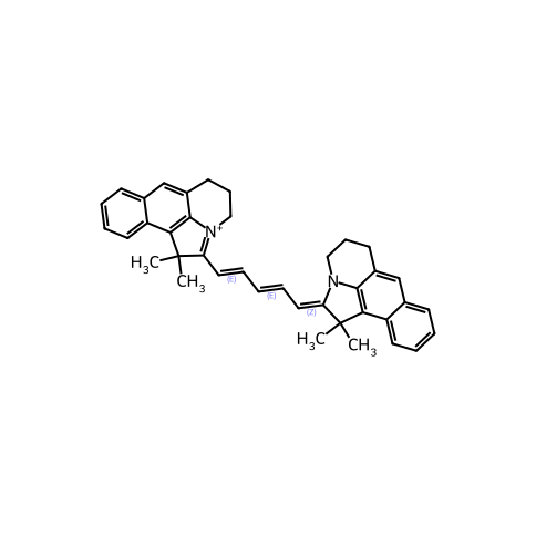 CC1(C)C(/C=C/C=C/C=C2\N3CCCc4cc5ccccc5c(c43)C2(C)C)=[N+]2CCCc3cc4ccccc4c1c32